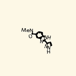 CNC(=O)c1ccc2[nH]c(-c3cc[nH]n3)nc2c1